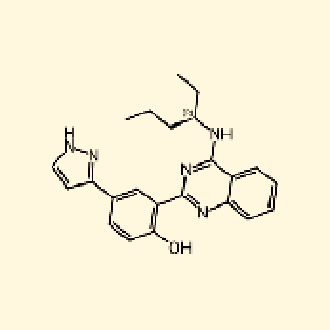 CCC[C@@H](CC)Nc1nc(-c2cc(-c3cc[nH]n3)ccc2O)nc2ccccc12